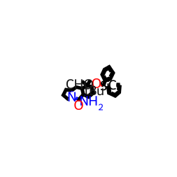 CC1(C)C(O[Si](c2ccccc2)(c2ccccc2)C(C)(C)C)C=CC2(N)C(=O)N3CCCC3(C=O)CC21